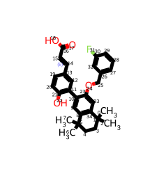 CC1(C)CCC(C)(C)c2cc(-c3cc(/C=C/C(=O)O)ccc3O)c(OCc3cccc(F)c3)cc21